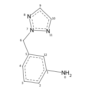 Nc1cccc(Cn2nccn2)c1